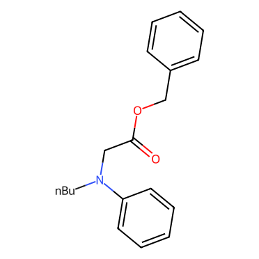 CCCCN(CC(=O)OCc1ccccc1)c1ccccc1